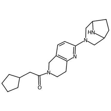 O=C(CC1CCCC1)N1CCc2nc(N3CC4CCC(C3)N4)ccc2C1